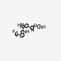 Fc1ccc(-c2nccc3[nH]c(-c4n[nH]c5ccc(-c6cncc(OC7CCNCC7)c6)cc45)cc23)s1